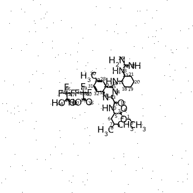 CCOC(=O)C(CC(C)C)NC(=O)c1nc(NC2CCCCC2NC(=N)N)c2cc(C)ccc2n1.O=C(O)C(F)(F)F.O=C(O)C(F)(F)F